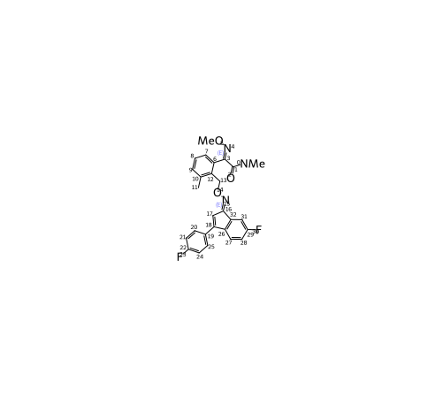 CNC(=O)/C(=N/OC)c1cccc(C)c1CO/N=C1\C=C(c2ccc(F)cc2)c2ccc(F)cc21